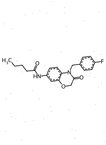 CCCCC(=O)Nc1ccc2c(c1)OCC(=O)N2Cc1ccc(F)cc1